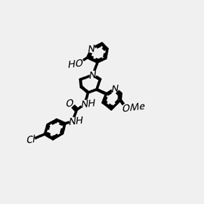 COc1ccc(C2CN(c3cccnc3O)CCC2NC(=O)Nc2ccc(Cl)cc2)nc1